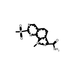 Cn1nc(C(N)=O)c2ccc3cnc(S(C)(=O)=O)nc3c21